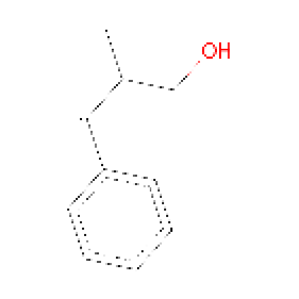 CC([CH]c1ccccc1)CO